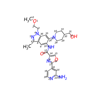 COCCn1nc(C)c2cc(NC(=O)c3coc(-c4ccnc(N)c4)n3)c(N3CCC(CO)CC3)cc21